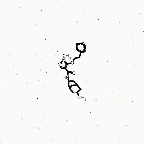 CC1CC2CC(C1)CC(NC(=O)c1cnn(C)c1OCCc1ccccc1)C2